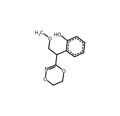 COCC(C1=NOCCO1)c1ccccc1O